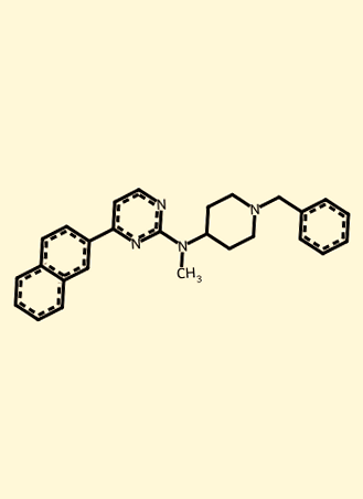 CN(c1nccc(-c2ccc3ccccc3c2)n1)C1CCN(Cc2ccccc2)CC1